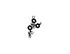 [N-]=[N+]=NC(=O)c1cccc(S(=O)(=O)N(c2ccc(Cl)cc2)c2cccc(F)c2)c1